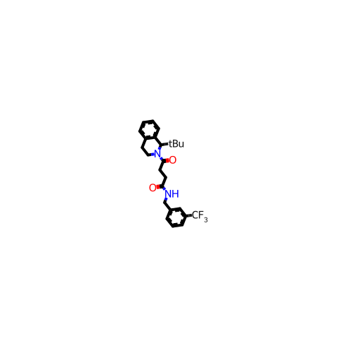 CC(C)(C)C1c2ccccc2CCN1C(=O)CCC(=O)NCc1cccc(C(F)(F)F)c1